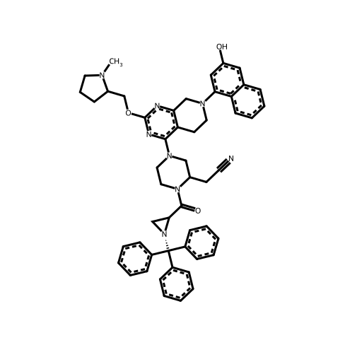 CN1CCCC1COc1nc2c(c(N3CCN(C(=O)C4C[N@@]4C(c4ccccc4)(c4ccccc4)c4ccccc4)C(CC#N)C3)n1)CCN(c1cc(O)cc3ccccc13)C2